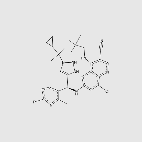 Cc1nc(F)ccc1[C@H](Nc1cc(Cl)c2ncc(C#N)c(NCC(C)(C)C)c2c1)C1=CN(C(C)(C)C2CC2)NN1